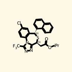 CC(C)OC(=O)C[C@@H]1S[C@@H](c2cccc3ccccc23)c2cc(Cl)ccc2-n2c1nnc2C(F)(F)F